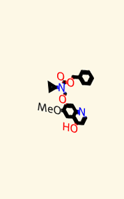 COc1cc2c(O)ccnc2cc1OCN(C(=O)OCc1ccccc1)C1CC1